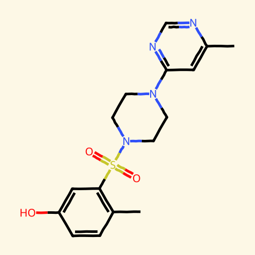 Cc1cc(N2CCN(S(=O)(=O)c3cc(O)ccc3C)CC2)ncn1